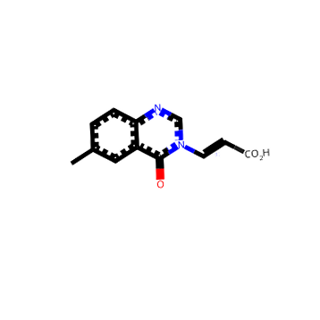 Cc1ccc2ncn(/C=C/C(=O)O)c(=O)c2c1